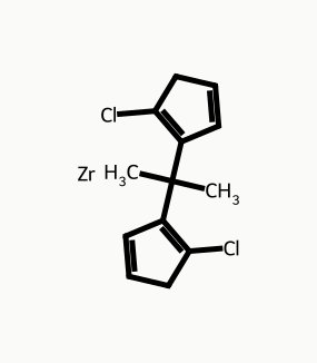 CC(C)(C1=C(Cl)CC=C1)C1=C(Cl)CC=C1.[Zr]